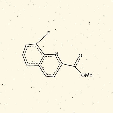 COC(=O)c1ccc2cccc(F)c2n1